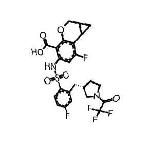 O=C(O)c1c(NS(=O)(=O)c2ccc(F)cc2C[C@@H]2CCN(C(=O)C(F)(F)F)C2)cc(F)c2c1OCC1CC21